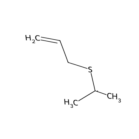 C=CCS[C](C)C